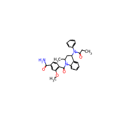 CCC(=O)N(c1ccccc1)C1CC(C)N(C(=O)c2ccc(C(N)=O)cc2OC)c2ccccc21